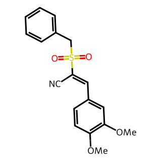 COc1ccc(/C=C(\C#N)S(=O)(=O)Cc2ccccc2)cc1OC